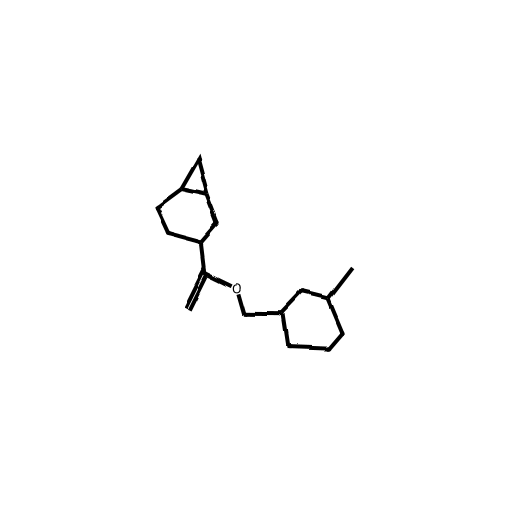 C=C(OCC1CCCC(C)C1)C1CCC2CC2C1